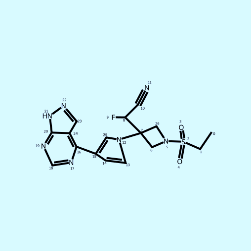 CCS(=O)(=O)N1CC(C(F)C#N)(n2ccc(-c3ncnc4[nH]ncc34)c2)C1